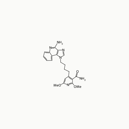 COc1cc(CCCCn2cnc3c(N)nc4ccccc4c32)c(C(N)=O)c(OC)n1